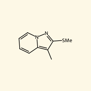 CSc1nn2ccccc2c1C